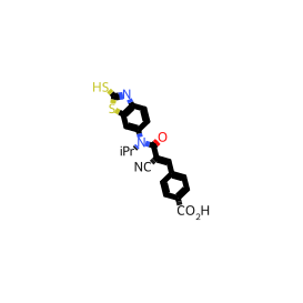 CC(C)N(C(=O)/C(C#N)=C/c1ccc(C(=O)O)cc1)c1ccc2nc(S)sc2c1